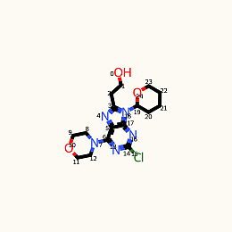 OCCc1nc2c(N3CCOCC3)nc(Cl)nc2n1C1CCCCO1